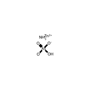 N.O=[As]([O-])([O-])O.[Zn+2]